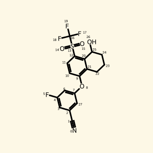 N#Cc1cc(F)cc(Oc2ccc(S(=O)(=O)C(F)(F)F)c3c2CCCC3O)c1